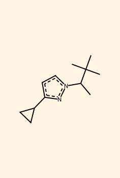 CC(n1ccc(C2CC2)n1)C(C)(C)C